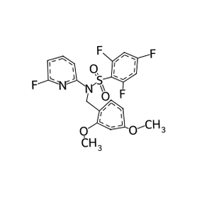 COc1ccc(CN(c2cccc(F)n2)S(=O)(=O)c2c(F)cc(F)cc2F)c(OC)c1